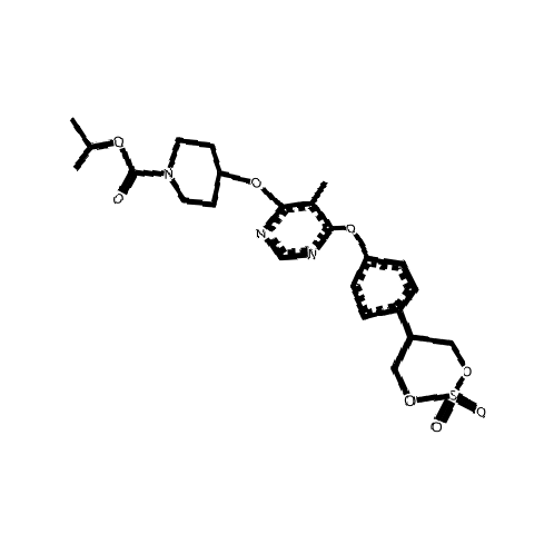 Cc1c(Oc2ccc(C3COS(=O)(=O)OC3)cc2)ncnc1OC1CCN(C(=O)OC(C)C)CC1